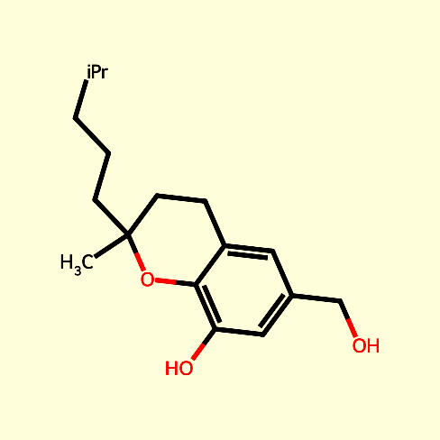 CC(C)CCCC1(C)CCc2cc(CO)cc(O)c2O1